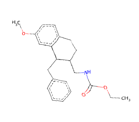 CCOC(=O)NCC1CCc2ccc(OC)cc2C1Cc1ccccc1